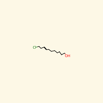 OCCCCCCC/C=C/CCCl